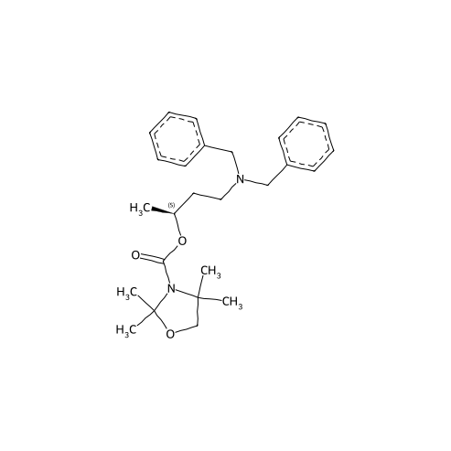 C[C@@H](CCN(Cc1ccccc1)Cc1ccccc1)OC(=O)N1C(C)(C)COC1(C)C